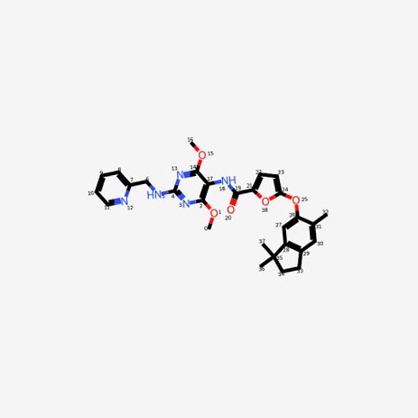 COc1nc(NCc2ccccn2)nc(OC)c1NC(=O)c1ccc(Oc2cc3c(cc2C)CCC3(C)C)o1